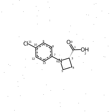 O=C(O)[C@@H]1CCN1c1ccc(Cl)cc1